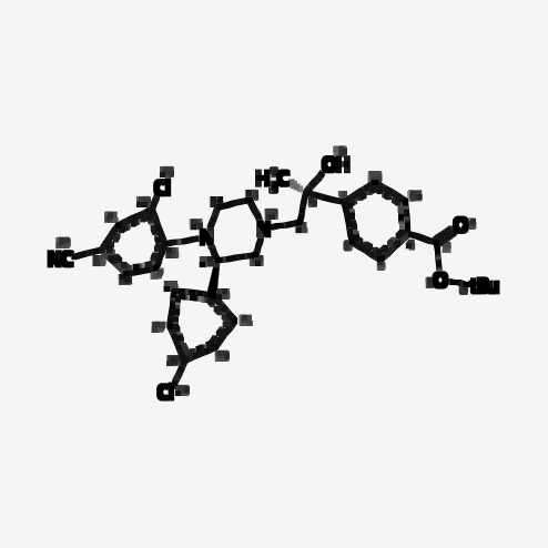 CC(C)(C)OC(=O)c1ccc([C@](C)(O)CN2CCN(c3ccc(C#N)cc3Cl)[C@H](c3ccc(Cl)cc3)C2)cc1